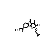 O=C(CO)N1CCc2[nH]c3c(F)c(Cl)c(OCC4CC4)nc3c2C1